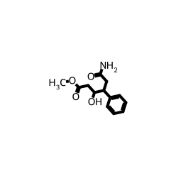 COC(=O)CC(O)C(CC(N)=O)c1ccccc1